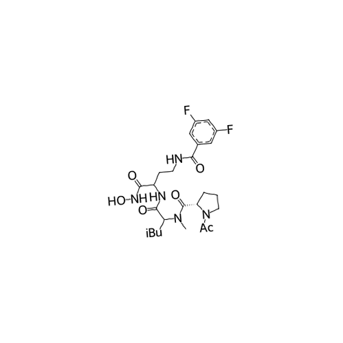 CCC(C)C(C(=O)NC(CCNC(=O)c1cc(F)cc(F)c1)C(=O)NO)N(C)C(=O)[C@@H]1CCCN1C(C)=O